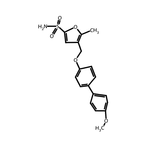 COc1ccc(-c2ccc(OCc3cc(S(N)(=O)=O)oc3C)cc2)cc1